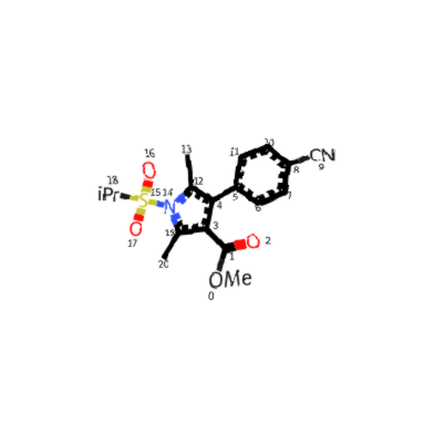 COC(=O)c1c(-c2ccc(C#N)cc2)c(C)n(S(=O)(=O)C(C)C)c1C